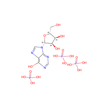 O=P(O)(O)O.O=P(O)(O)O.O=P(O)(O)O.OC[C@H]1O[C@@H](n2cnc3c(O)ncnc32)[C@H](O)[C@@H]1O